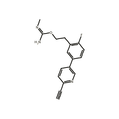 C#Cc1ccc(-c2ccc(F)c(CCO/C(N)=N\C)c2)cn1